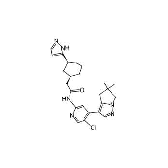 CC1(C)Cc2c(-c3cc(NC(=O)C[C@@H]4CCC[C@H](c5ccn[nH]5)C4)ncc3Cl)cnn2C1